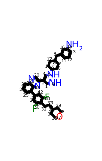 N=C/C(=C\NC1CCC(Cc2cccc(N)c2)CC1)c1cnc2cccc(-c3cc(F)c(CCC4CCOCC4)c(F)c3)c2n1